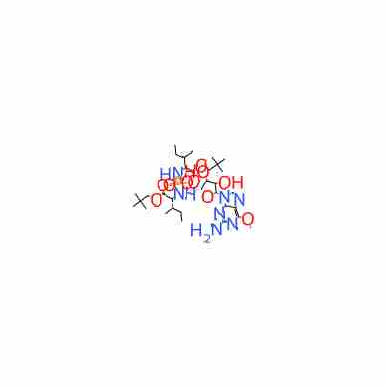 CCC(C)[C@H](NP(=O)(N[C@H](C(=O)OCC(C)(C)C)C(C)CC)OC[C@H]1O[C@@H](n2cnc3c(OC)nc(N)nc32)[C@](C)(O)[C@@H]1O)C(=O)OCC(C)(C)C